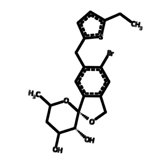 CCc1ccc(Cc2cc3c(cc2Br)CO[C@]32OC(C)CC(O)[C@H]2O)s1